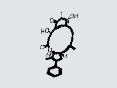 CC1=C(c2ccccc2)C[C@H]2/C=C(/C)CCC[C@@H]3C=C(C(=O)[C@H](C)[C@H]3O)[C@@H](O)CC(=O)O[C@H]12